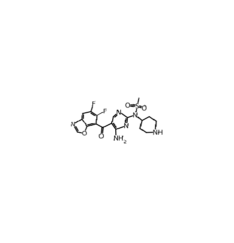 CS(=O)(=O)N(c1ncc(C(=O)c2c(F)c(F)cc3ncoc23)c(N)n1)C1CCNCC1